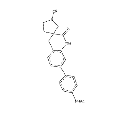 CC(=O)Nc1ccc(-c2ccc3c(c2)NC(=O)C2(CCN(C#N)C2)C3)cc1